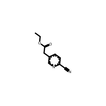 CCOC(=O)Cc1ccc(C#N)nc1